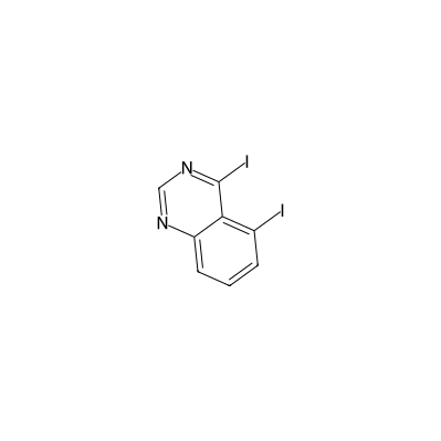 Ic1cccc2ncnc(I)c12